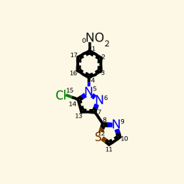 O=[N+]([O-])c1ccc(-n2nc(-c3nccs3)cc2Cl)cc1